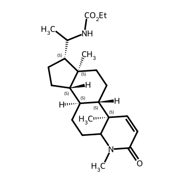 CCOC(=O)NC(C)[C@H]1CC[C@H]2[C@@H]3CCC4N(C)C(=O)C=C[C@]4(C)[C@H]3CC[C@]12C